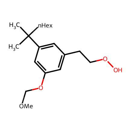 CCCCCCC(C)(C)c1cc(CCOO)cc(OCOC)c1